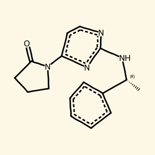 C[C@@H](Nc1nccc(N2CCCC2=O)n1)c1ccccc1